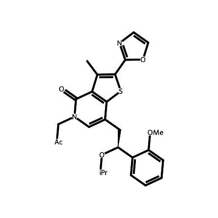 COc1ccccc1[C@H](Cc1cn(CC(C)=O)c(=O)c2c(C)c(-c3ncco3)sc12)OC(C)C